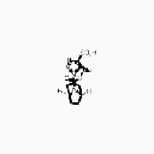 Cc1c(C(=O)O)nnn1C1C[C@H]2CC[C@@H](C1)N2C(=O)OC(C)(C)C